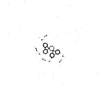 C=CCOC(C)Oc1ccc(C2(c3ccc(OC(C)OCC=C)cc3)CCCC(c3ccc(OC(C)OCC=C)cc3)(c3ccc(OC(C)OCC=C)cc3)C2)cc1